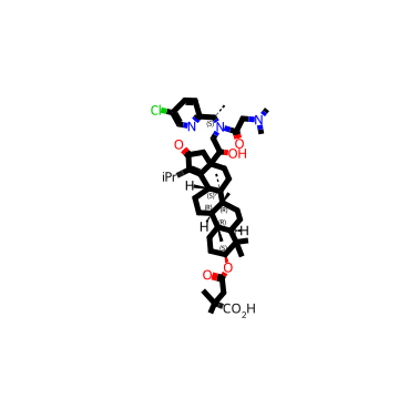 CC(C)C1=C2[C@H]3CC[C@@H]4[C@@]5(C)CC[C@H](OC(=O)CC(C)(C)C(=O)O)C(C)(C)[C@@H]5CC[C@@]4(C)[C@]3(C)CCC2(C(O)CN(C(=O)CN(C)C)[C@@H](C)c2ccc(Cl)cn2)CC1=O